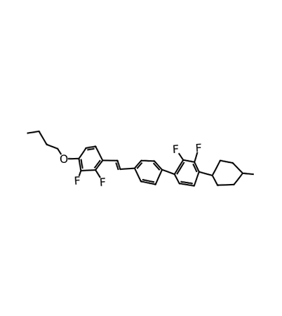 CCCCOc1ccc(/C=C/c2ccc(-c3ccc(C4CCC(C)CC4)c(F)c3F)cc2)c(F)c1F